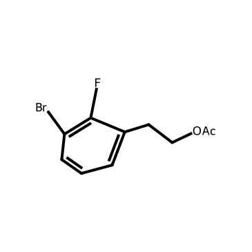 CC(=O)OCCc1cccc(Br)c1F